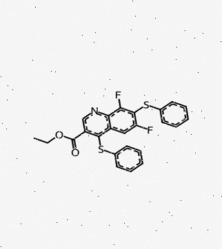 CCOC(=O)c1cnc2c(F)c(Sc3ccccc3)c(F)cc2c1Sc1ccccc1